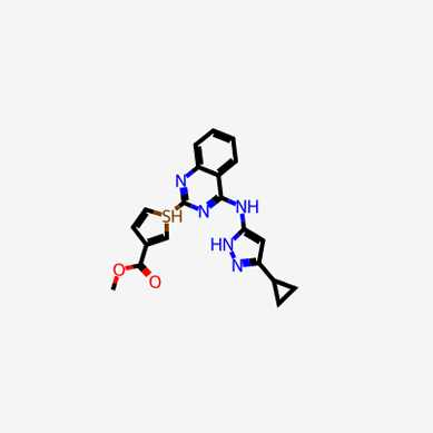 COC(=O)C1=C[SH](c2nc(Nc3cc(C4CC4)n[nH]3)c3ccccc3n2)C=C1